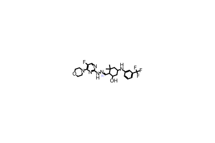 CC1(C)CC(Nc2cccc(C(F)(F)F)c2)CC(O)C1/C=N/Nc1ncc(F)c(N2CCOCC2)n1